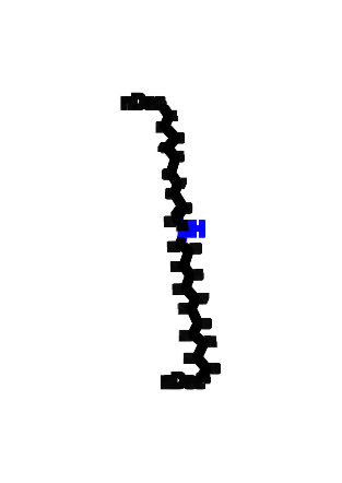 CCCCCCCCCCCCCCCCCCC=CNCCCCCCCCCCCCCCCCCCCCCC